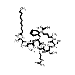 CCCCCCCCCC(=O)N[C@H](C(=O)N[C@H](C(=O)N[C@@H](Cc1ccccc1)C(=O)N[C@@H](CCCNC(=N)N)C(=O)N[C@@H](CO)C(=O)N[C@@H](CO)C(=O)N[C@H](C)CCCNC(=N)N)C(C)C)[C@@H](C)O